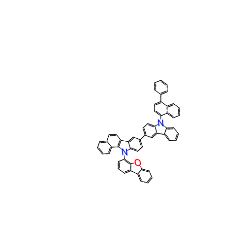 c1ccc(-c2ccc(-n3c4ccccc4c4cc(-c5ccc6c(c5)c5ccc7ccccc7c5n6-c5cccc6c5oc5ccccc56)ccc43)c3ccccc23)cc1